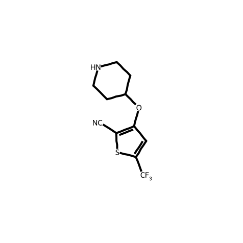 N#Cc1sc(C(F)(F)F)cc1OC1CCNCC1